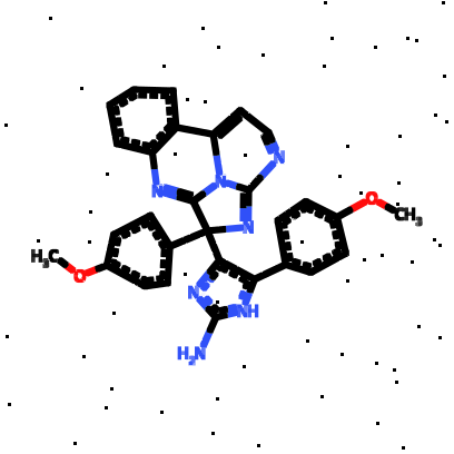 COc1ccc(-c2[nH]c(N)nc2C2(c3ccc(OC)cc3)N=C3N=CC=C4c5ccccc5N=C2N43)cc1